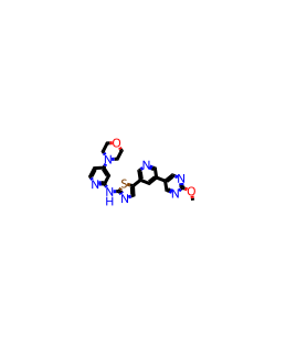 COc1ncc(-c2cncc(-c3cnc(Nc4cc(N5CCOCC5)ccn4)s3)c2)cn1